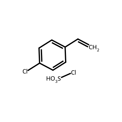 C=Cc1ccc(Cl)cc1.O=S(=O)(O)Cl